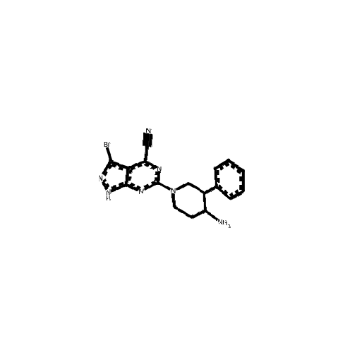 N#Cc1nc(N2CCC(N)C(c3ccccc3)C2)nc2[nH]nc(Br)c12